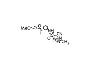 CCn1c(=C(C#N)c2nc(C)no2)sc(=CNc2cccc(NC(=O)COCCOC)c2)c1=O